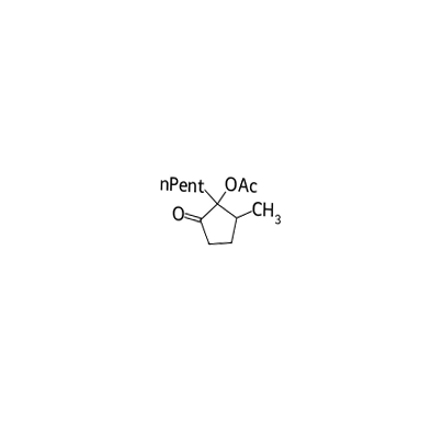 CCCCCC1(OC(C)=O)C(=O)CCC1C